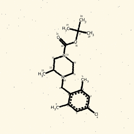 Cc1cc(Cl)cc(C)c1CN1CCN(C(=O)OC(C)(C)C)CC1C